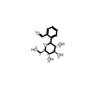 O=[C]c1ccccc1C1O[C@H](CO)[C@@H](O)[C@H](O)[C@H]1O